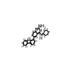 Nc1nc(NC2CCCCC2)c2cc(-c3cccc4c3oc3ccccc34)ccc2n1